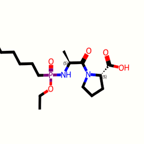 CCCCCCP(=O)(N[C@@H](C)C(=O)N1CCC[C@H]1C(=O)O)OCC